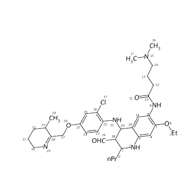 CCCC1Nc2cc(OCC)c(NC(=O)CCCN(C)C)cc2C(Nc2ccc(OCC3=NCCCC3C)cc2Cl)C1C=O